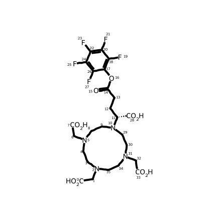 O=C(O)CN1CCN(CC(=O)O)CCN([C@H](CCC(=O)Oc2c(F)c(F)c(F)c(F)c2F)C(=O)O)CCN(CC(=O)O)CC1